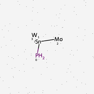 [PH2][Sn][Mo].[W]